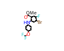 COC(=O)c1cc(F)c(Br)cc1Nc1ccc(OC(F)F)cc1